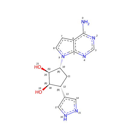 Nc1ncnc2c1ccn2[C@@H]1C[C@H](c2cn[nH]c2)[C@@H](O)[C@H]1O